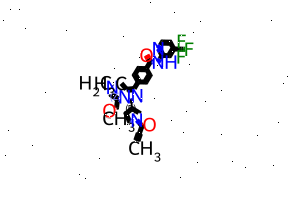 C=N/C=C(/COC)n1c([C@@H]2CCN(C(=O)C#CC)C2)nc(-c2ccc(C(=O)Nc3cc(C(F)(F)F)ccn3)cc2)c1C